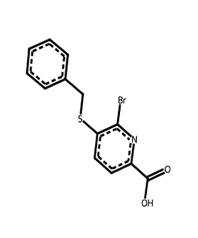 O=C(O)c1ccc(SCc2ccccc2)c(Br)n1